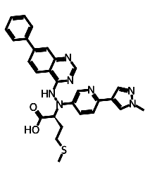 CSCC[C@@H](C(=O)O)N(Nc1ncnc2cc(-c3ccccc3)ccc12)c1ccc(-c2cnn(C)c2)nc1